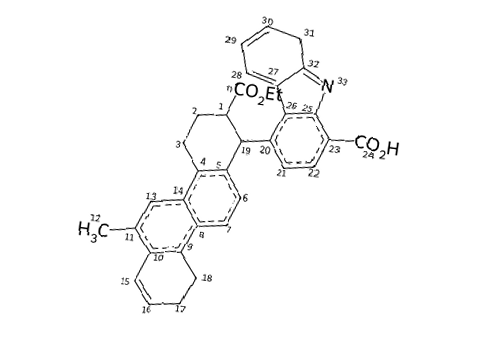 CCOC(=O)C1CCc2c(ccc3c4c(c(C)cc23)C=CCC4)C1c1ccc(C(=O)O)c2c1C1=CC=CCC1=N2